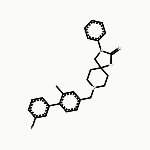 Cc1cc(CN2CCC3(CC2)CN(c2ccccc2)C(=O)O3)ccc1-c1cccc(F)c1